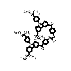 CCCC(Sc1ccc(C(=O)c2ccc3c(c2)c2cc(/C(C)=N/OC(C)=O)ccc2n3-c2ccc(/C(C)=N/OC(C)=O)cc2)cc1)Sc1ccc(C(=O)c2ccc3c(c2)c2cc(/C(C)=N/OC(C)=O)ccc2n3-c2ccc(/C(C)=N/OC(C)=O)cc2)cc1